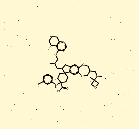 C[C@@H](COc1ccnc2c1[C@H](C)CCC2)C[C@H]1Cc2cc3c(cc2C12CCC(Nc1cccc(Cl)c1)(C(=O)O)CC2)OCC(CN(C)C1(C)COC1)CO3